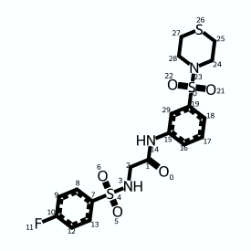 O=C(CNS(=O)(=O)c1ccc(F)cc1)Nc1cccc(S(=O)(=O)N2CCSCC2)c1